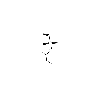 C=CS(=O)(=O)NC(F)C(F)F